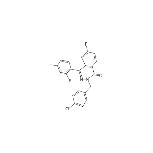 Cc1ccc(-c2nn(Cc3ccc(Cl)cc3)c(=O)c3ccc(F)cc23)c(F)n1